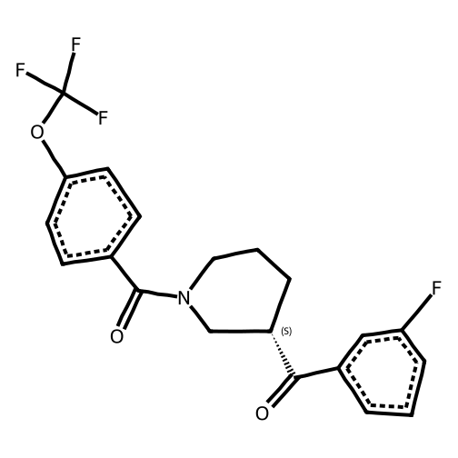 O=C(c1cccc(F)c1)[C@H]1CCCN(C(=O)c2ccc(OC(F)(F)F)cc2)C1